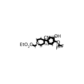 CCOC(=O)CN1CCC(C#N)(c2ccc(OC(F)F)c(O)c2)CC1